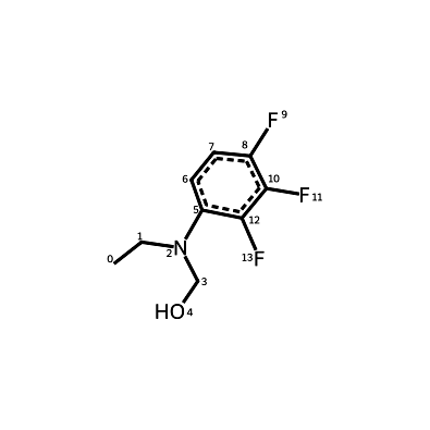 CCN(CO)c1ccc(F)c(F)c1F